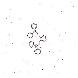 c1ccc(P(CCc2ccccc2CCP(c2ccccc2)c2ccccc2)c2ccccc2)cc1